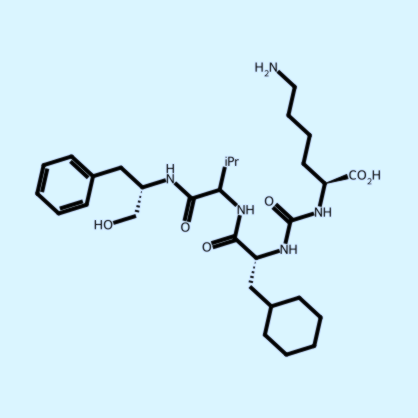 CC(C)C(NC(=O)[C@@H](CC1CCCCC1)NC(=O)N[C@@H](CCCCN)C(=O)O)C(=O)N[C@H](CO)Cc1ccccc1